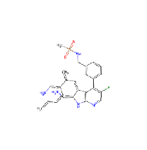 C=C/C=C\C(=C/N)C(=C)/C=c1\c(=C/N)[nH]c2ncc(F)c(-c3cccc(CNS(C)(=O)=O)c3)c12